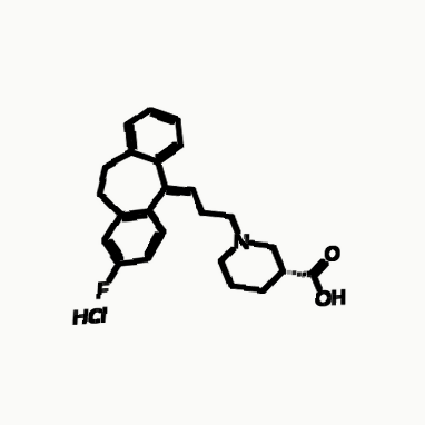 Cl.O=C(O)[C@@H]1CCCN(CCC=C2c3ccccc3CCc3cc(F)ccc32)C1